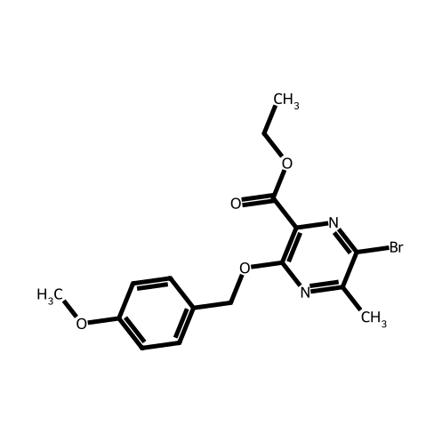 CCOC(=O)c1nc(Br)c(C)nc1OCc1ccc(OC)cc1